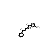 Cc1cnc(C(=O)NCCC(=O)N2CCCCC2)s1